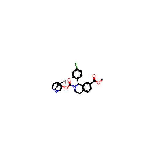 COC(=O)c1ccc2c(c1)[C@H](c1ccc(F)cc1)N(C(=O)O[C@@H]1CN3CCC1CC3)CC2